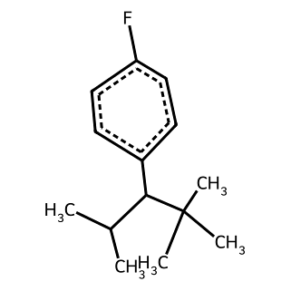 CC(C)C(c1ccc(F)cc1)C(C)(C)C